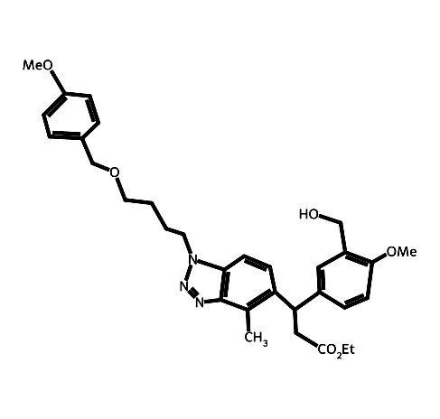 CCOC(=O)CC(c1ccc(OC)c(CO)c1)c1ccc2c(nnn2CCCCOCc2ccc(OC)cc2)c1C